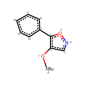 CCCCOc1[c]noc1-c1ccccc1